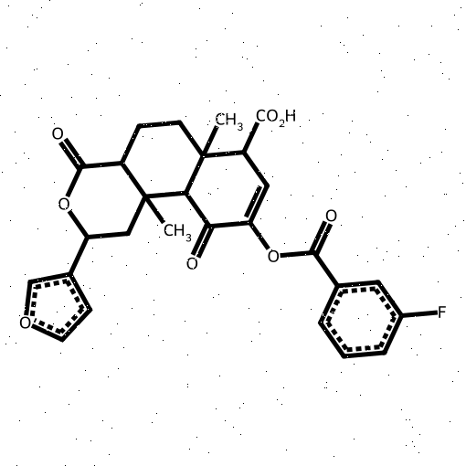 CC12CCC3C(=O)OC(c4ccoc4)CC3(C)C1C(=O)C(OC(=O)c1cccc(F)c1)=CC2C(=O)O